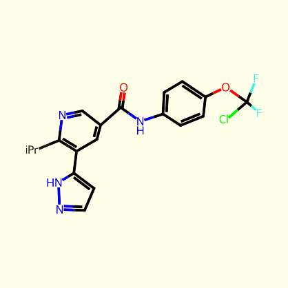 CC(C)c1ncc(C(=O)Nc2ccc(OC(F)(F)Cl)cc2)cc1-c1ccn[nH]1